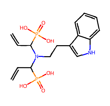 C=CC(N(CCc1c[nH]c2ccccc12)C(C=C)P(=O)(O)O)P(=O)(O)O